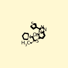 CC[C@@H](Sc1ccc2nnc(-c3ccsc3)n2n1)C(=O)N1CCCCC1